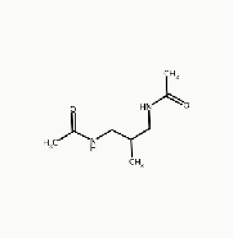 CC(=O)NCC(C)CNC(C)=O